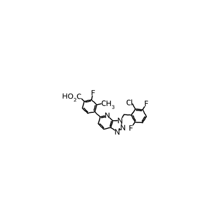 Cc1c(-c2ccc3nnn(Cc4c(F)ccc(F)c4Cl)c3n2)ccc(C(=O)O)c1F